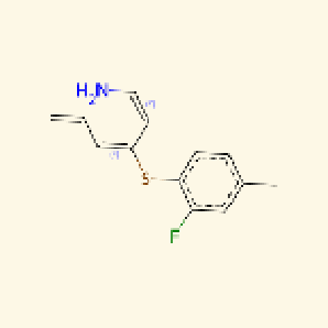 C=C/C=C(\C=C/N)Sc1ccc(C)cc1F